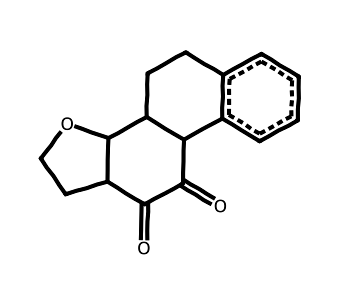 O=C1C(=O)C2c3ccccc3CCC2C2OCCC12